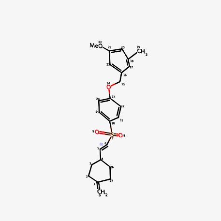 C=C1CCC(/C=C/S(=O)(=O)c2ccc(OCc3cc(C)cc(OC)c3)cc2)CC1